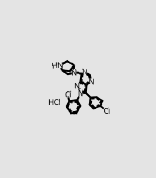 Cl.Clc1ccc(-c2c3ncnc(N4CC5CC4CN5)c3nn2-c2ccccc2Cl)cc1